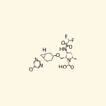 C[C@@H]1C[C@H](NS(=O)(=O)C(F)F)[C@H](CO[C@H]2CC[C@@]3(c4ncc(Cl)cn4)C[C@H]3C2)N1C(=O)O